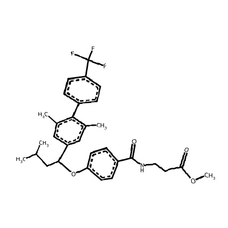 COC(=O)CCNC(=O)c1ccc(OC(CC(C)C)c2cc(C)c(-c3ccc(C(F)(F)F)cc3)c(C)c2)cc1